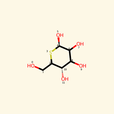 OCC1S[C@@H](O)C(O)C(O)[C@@H]1O